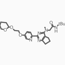 CN(CC(=O)NC(C)(C)C)c1nc(-c2ccc(OCCOC3CCCCO3)cn2)nc2c1CCC2